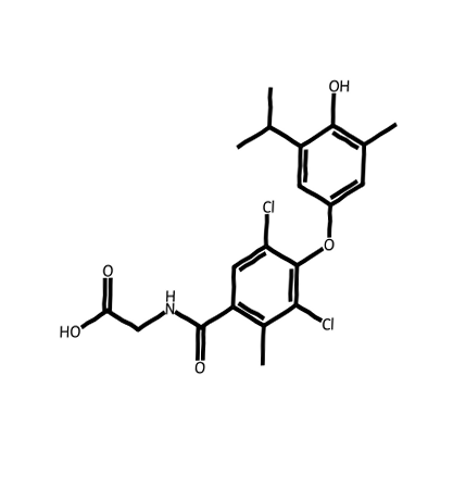 Cc1cc(Oc2c(Cl)cc(C(=O)NCC(=O)O)c(C)c2Cl)cc(C(C)C)c1O